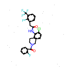 O=C(Cc1cccc(C(F)(F)F)c1F)Nc1c(Cl)ccc2c1CCN(C(=O)c1ccccc1F)C2